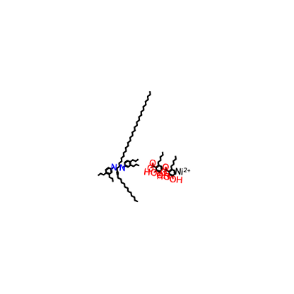 CCCCCCCCCCCCC#CC(=Nc1ccc(CCC)c(CCC)c1)C(CCCCCCCCCCCCCCCCCCCCCCCCCCCCC)=Nc1ccc(CCC)c(CCC)c1.CCCCCc1ccc(O)c(O)c1C(=O)[O-].CCCCCc1ccc(O)c(O)c1C(=O)[O-].[Ni+2]